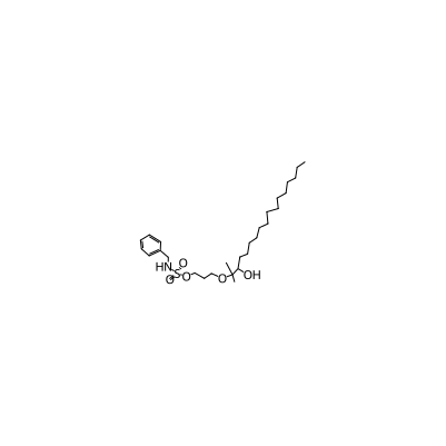 CCCCCCCCCCCCCCC(O)C(C)(C)OCCCOS(=O)(=O)NCc1ccccc1